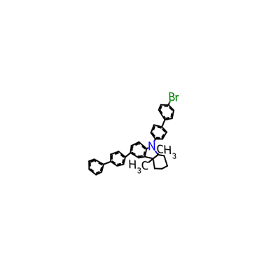 CC12CCCCC1(C)N(c1ccc(-c3ccc(Br)cc3)cc1)c1ccc(-c3ccc(-c4ccccc4)cc3)cc12